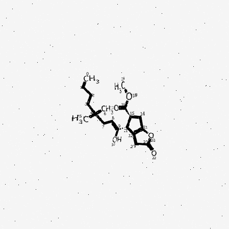 CCCCC(C)(C)CC=C(O)[C@H]1C2=C(C[C@@H]1C(=O)OC)OC(=O)C2